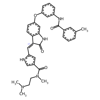 Cc1cccc(C(=O)Nc2cccc(Oc3ccc4c(c3)NC(=O)/C4=C\c3cc(C(=O)N(C)CCN(C)C)c[nH]3)c2)c1